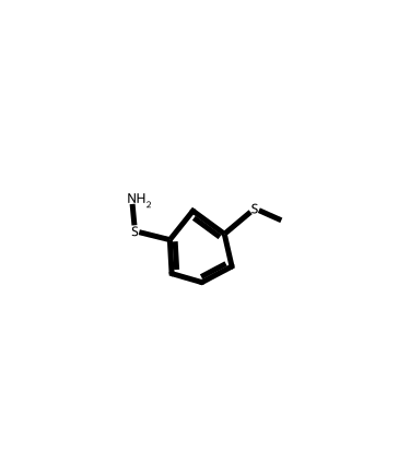 CSc1cccc(SN)c1